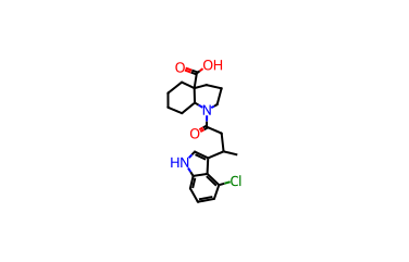 CC(CC(=O)N1CCCC2(C(=O)O)CCCCC12)c1c[nH]c2cccc(Cl)c12